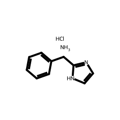 Cl.N.c1ccc(Cc2ncc[nH]2)cc1